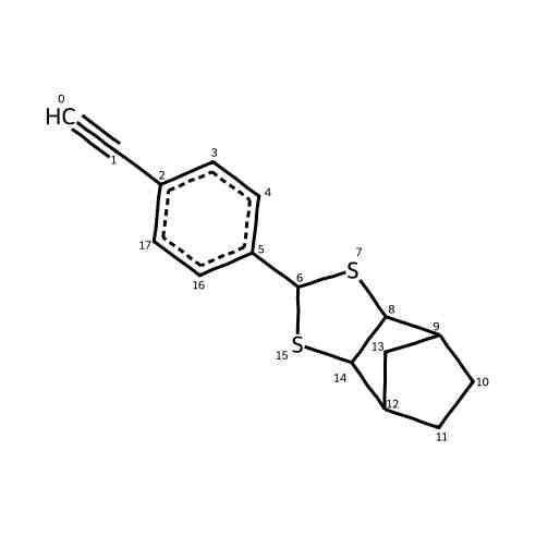 C#Cc1ccc(C2SC3C4CCC(C4)C3S2)cc1